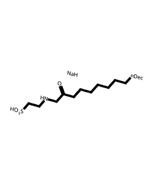 CCCCCCCCCCCCCCCCCC(=O)CNCCS(=O)(=O)O.[NaH]